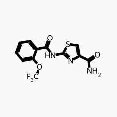 NC(=O)c1csc(NC(=O)c2ccccc2OC(F)(F)F)n1